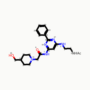 CC(=O)NCCNc1cc(NC(=O)CN2CCC(CO)CC2)nc(-c2ccccc2)n1